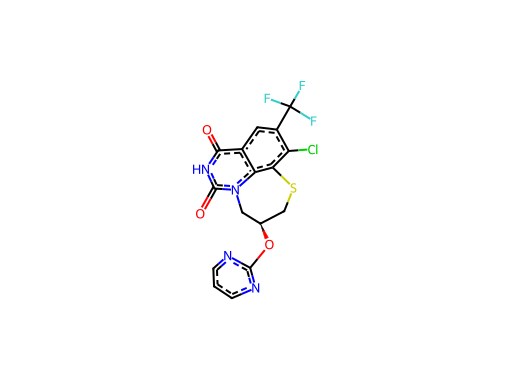 O=c1[nH]c(=O)n2c3c(c(Cl)c(C(F)(F)F)cc13)SC[C@@H](Oc1ncccn1)C2